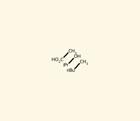 CC(=O)O.CC(C)O.CCCCC